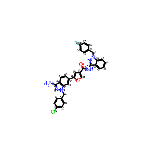 Nc1nn(Cc2ccc(Cl)cc2)c2cc(-c3cc(C(=O)Nc4nn(Cc5ccc(F)cc5)c5ccccc45)co3)ccc12